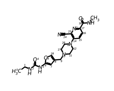 CCNC(=O)Nc1cc(CN2CCN(c3ccc(C(=O)NC)nc3C#N)CC2)co1